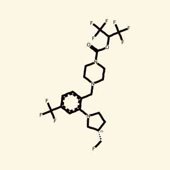 O=C(OC(C(F)(F)F)C(F)(F)F)N1CCN(Cc2ccc(C(F)(F)F)cc2N2CC[C@H](CF)C2)CC1